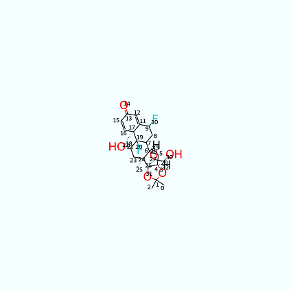 CC1(C)O[C@@H]2C[C@H]3C4C[C@H](F)C5=CC(=O)C=C[C@]5(C)[C@@]4(F)[C@@H](O)C[C@]3(C)[C@]2(C(=O)CO)O1